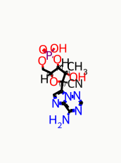 C[C@@]1(O)[C@@H]2OP(=O)(O)OC[C@H]2O[C@@]1(C#N)c1cnc2c(N)ncnn12